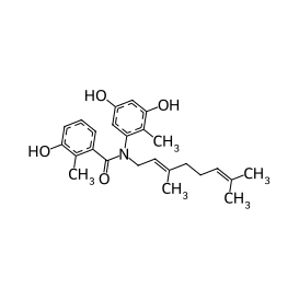 CC(C)=CCC/C(C)=C/CN(C(=O)c1cccc(O)c1C)c1cc(O)cc(O)c1C